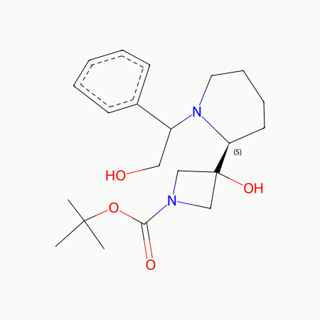 CC(C)(C)OC(=O)N1CC(O)([C@@H]2CCCCN2C(CO)c2ccccc2)C1